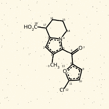 Cc1cc2n(c1C(=O)c1ccc(Cl)o1)CCCC2C(=O)O